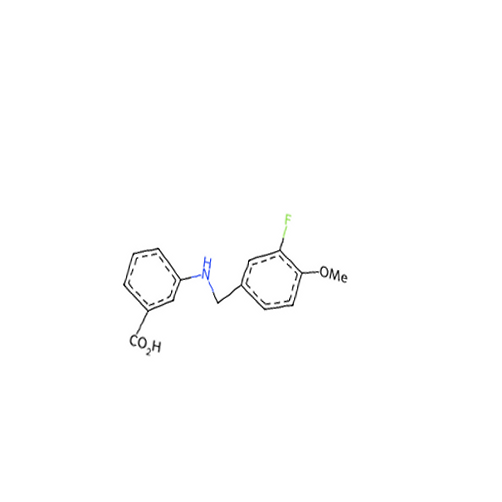 COc1ccc(CNc2cccc(C(=O)O)c2)cc1F